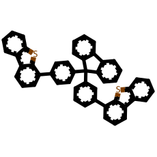 c1cc(-c2cccc3c2sc2ccccc23)cc(C2(c3ccc(-c4cccc5c4sc4ccccc45)cc3)c3ccccc3-c3ccccc32)c1